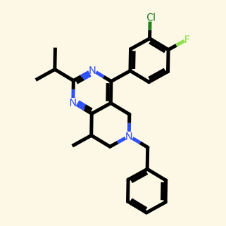 CC(C)c1nc(-c2ccc(F)c(Cl)c2)c2c(n1)C(C)CN(Cc1ccccc1)C2